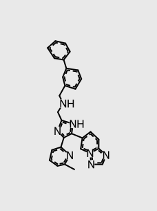 Cc1cccc(-c2nc(CNCc3cccc(-c4ccccc4)c3)[nH]c2-c2ccc3ncnn3c2)n1